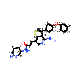 Nc1ncc(C=CC(=O)NC2CCCNC2)c2scc(-c3ccc(Oc4ccccc4)cc3)c12